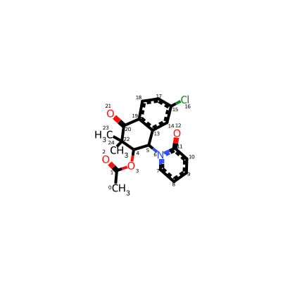 CC(=O)OC1C(n2ccccc2=O)c2cc(Cl)ccc2C(=O)C1(C)C